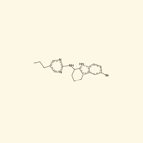 CCCc1cnc(NC2CCCc3c2[nH]c2ccc(Br)cc32)nc1